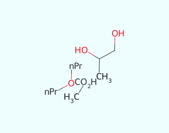 CC(=O)O.CC(O)CO.CCCOCCC